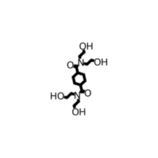 O=C(C1CCC(C(=O)N(CCO)CCO)CC1)N(CCO)CCO